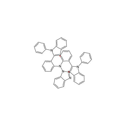 c1ccc(-n2c(-c3ccccc3N(c3ccccc3-c3cc4ccccc4n3-c3ccccc3)n3nnc4ccccc43)cc3ccccc32)cc1